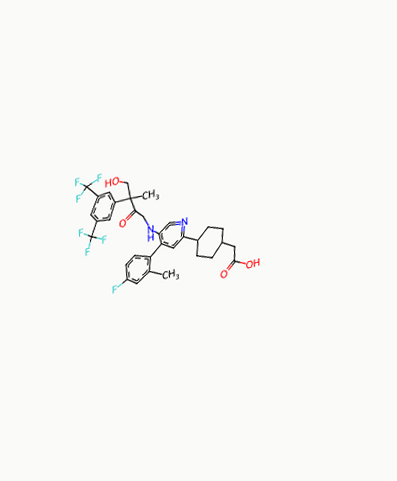 Cc1cc(F)ccc1-c1cc(C2CCC(CC(=O)O)CC2)ncc1NCC(=O)C(C)(CO)c1cc(C(F)(F)F)cc(C(F)(F)F)c1